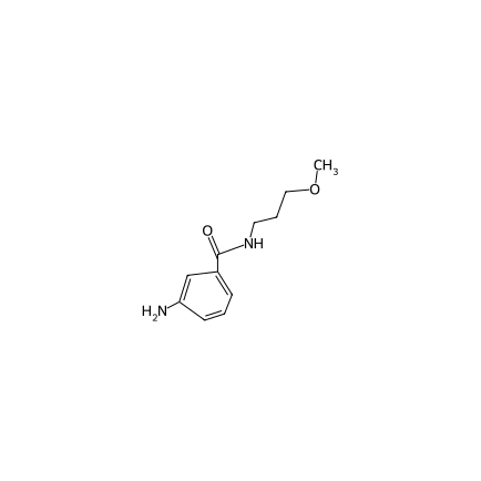 COCCCNC(=O)c1cccc(N)c1